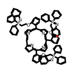 C1=Cc2nc1cc1ccc([nH]1)c(-c1ccccc1OCCP(=Nc1ccccc1)(c1ccccc1)c1ccccc1)c1nc(c(-c3ccccc3OCCP(=Nc3ccccc3)(c3ccccc3)c3ccccc3)c3ccc([nH]3)c2-c2ccccc2OCCP(=Nc2ccccc2)(c2ccccc2)c2ccccc2)C=C1